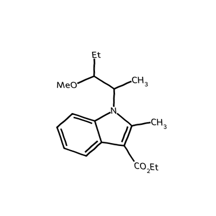 CCOC(=O)c1c(C)n(C(C)C(CC)OC)c2ccccc12